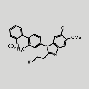 COc1cc2nc(CCC(C)C)n(-c3ccc(-c4ccccc4C(=O)O)c(C)c3)c2cc1O